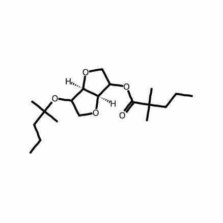 CCCC(C)(C)OC1CO[C@@H]2C(OC(=O)C(C)(C)CCC)CO[C@H]12